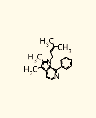 CC(C)=CCn1c(C)c(C)c2ccnc(-c3ccccc3)c21